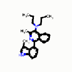 CCCN(CCC)c1c(C)nc(-c2cccc3[nH]cc(C)c23)c2ccccc12